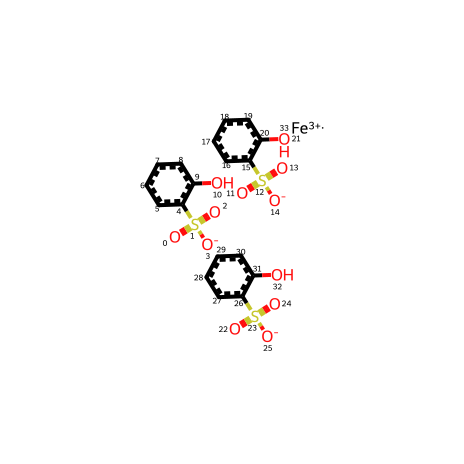 O=S(=O)([O-])c1ccccc1O.O=S(=O)([O-])c1ccccc1O.O=S(=O)([O-])c1ccccc1O.[Fe+3]